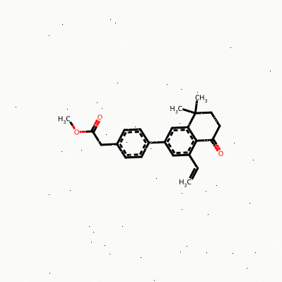 C=Cc1cc(-c2ccc(CC(=O)OC)cc2)cc2c1C(=O)CCC2(C)C